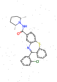 C[C@@H]1CCC[C@H](C)N1NC(=O)c1ccc2c(c1)N=C(c1ccccc1Cl)c1ccccc1S2